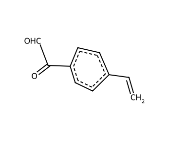 C=Cc1ccc(C(=O)C=O)cc1